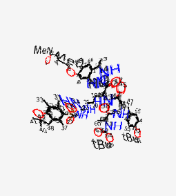 CNC(=O)CCCOc1cc([N+](=O)[O-])c(C(C)NNC(=O)[C@H](CCCNC(=N)NS(=O)(=O)c2c(C)c(C)c3c(c2C)CC(C)(C)O3)NC(=O)[C@H](Cc2ccc(OC(C)(C)C)cc2)NC(=O)[C@H](C)NC(=O)OC(C)(C)C)cc1OC